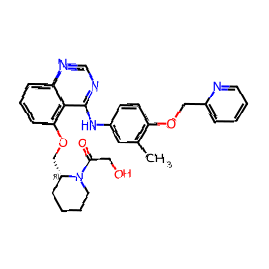 Cc1cc(Nc2ncnc3cccc(OC[C@H]4CCCCN4C(=O)CO)c23)ccc1OCc1ccccn1